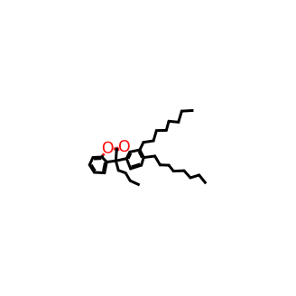 CCCCCCCCc1ccc(C2(CCCC)C(=O)Oc3ccccc32)cc1CCCCCCCC